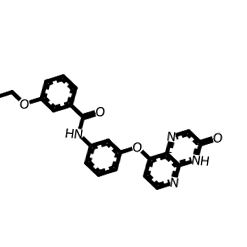 O=C(Nc1cccc(Oc2ccnc3[nH]c(=O)cnc23)c1)c1cccc(OCF)c1